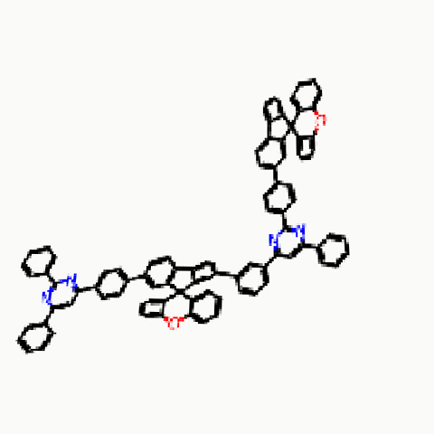 c1ccc(-c2cc(-c3ccc(-c4ccc5c(c4)C4(c6ccccc6Oc6ccccc64)c4cc(-c6cccc(-c7cc(-c8ccccc8)nc(-c8ccc(-c9ccc%10c(c9)C9(c%11ccccc%11Oc%11ccccc%119)c9ccccc9-%10)cc8)n7)c6)ccc4-5)cc3)nc(-c3ccccc3)n2)cc1